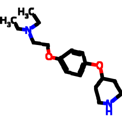 CCN(CC)CCOc1ccc(OC2CCNCC2)cc1